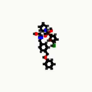 O=C(NCc1ccc(COc2ccccc2)cc1)[C@@H]1C=CCN1S(=O)(=O)c1ccc(Cl)s1